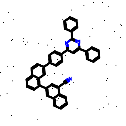 N#Cc1cc(-c2cccc3ccc(-c4ccc(-c5cc(-c6ccccc6)nc(-c6ccccc6)n5)cc4)cc23)cc2ccccc12